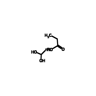 CCC(=O)O.CCCC(O)O